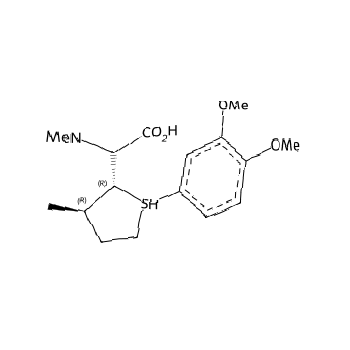 CNC(C(=O)O)[C@H]1[C@H](C)CC[SH]1c1ccc(OC)c(OC)c1